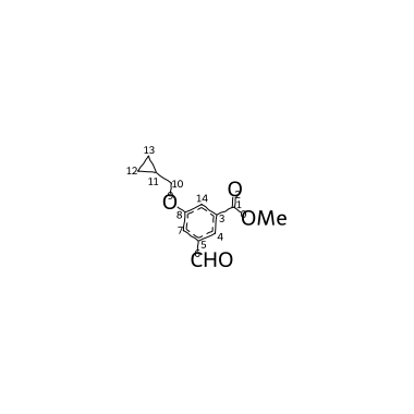 COC(=O)c1cc(C=O)cc(OCC2CC2)c1